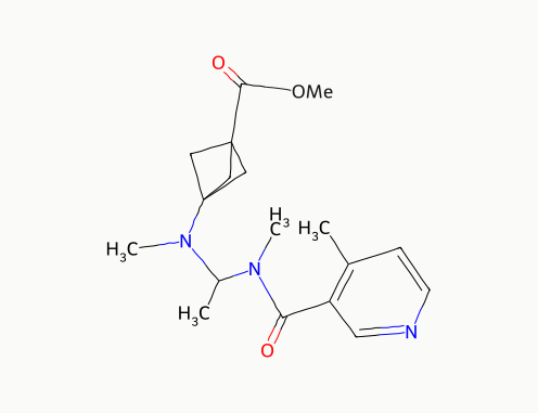 COC(=O)C12CC(N(C)C(C)N(C)C(=O)c3cnccc3C)(C1)C2